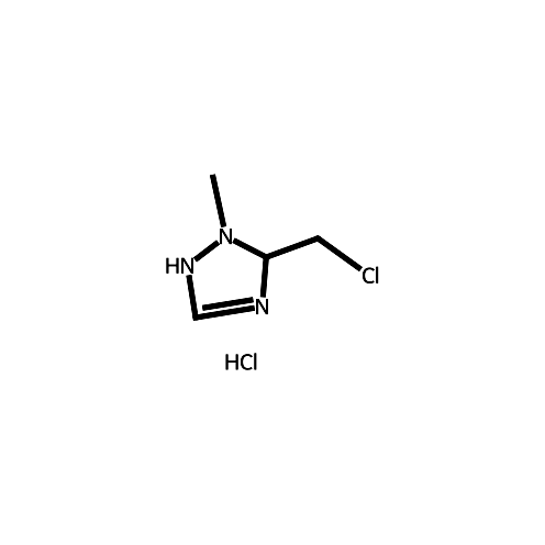 CN1NC=NC1CCl.Cl